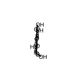 O=C(NCSCSC/N=C/OOCSCSCOC(=O)NCSCSC/N=C\OOCCCO)OCCCO